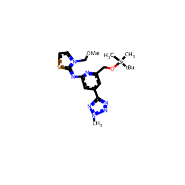 COCn1ccsc1=Nc1cc(-c2nnn(C)n2)cc(CO[Si](C)(C)C(C)(C)C)n1